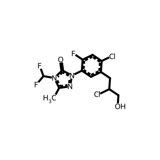 Cc1nn(-c2cc(CC(Cl)CO)c(Cl)cc2F)c(=O)n1C(F)F